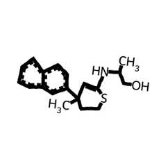 CC(CO)NC1=CC(C)(c2ccc3ccccc3c2)CCS1